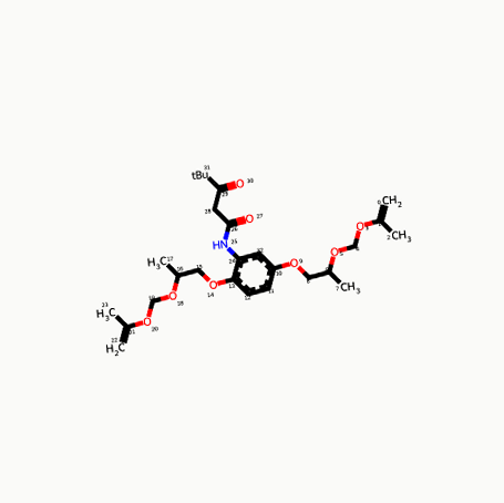 C=C(C)OCOC(C)COc1ccc(OCC(C)OCOC(=C)C)c(NC(=O)CC(=O)C(C)(C)C)c1